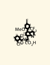 COc1cc(F)cc(C(F)(F)F)c1-c1ccc(CC(NC(=O)c2c(Cl)cccc2Cl)C(=O)O)c2ncccc12